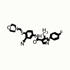 Cc1c(C(=O)Nc2ccc(SCN3CCOCC3)c(C#N)c2)cnn1-c1ccc(F)cc1